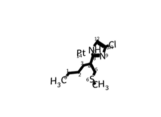 CCCCC(CSC)c1nc(Cl)c[nH]1.[Pt]